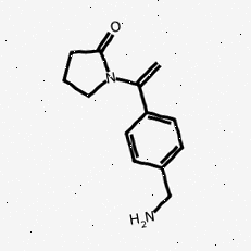 C=C(c1ccc(CN)cc1)N1CCCC1=O